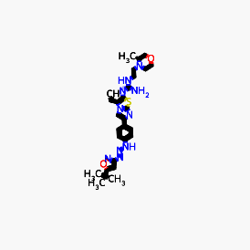 C=Cc1c(/N=C(\N)NCCN2CCOC[C@@H]2C)sc2nc(-c3ccc(NN=Nc4cc(C(C)(C)C)on4)cc3)cn12